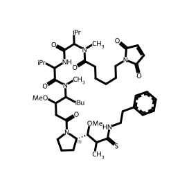 CCC(C)C(C(CC(=O)N1CCC[C@H]1C(OC)C(C)C(=S)NCCc1ccccc1)OC)N(C)C(=O)C(NC(=O)C(C(C)C)N(C)C(=O)CCCCCN1C(=O)C=CC1=O)C(C)C